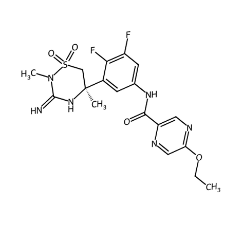 CCOc1cnc(C(=O)Nc2cc(F)c(F)c([C@]3(C)CS(=O)(=O)N(C)C(=N)N3)c2)cn1